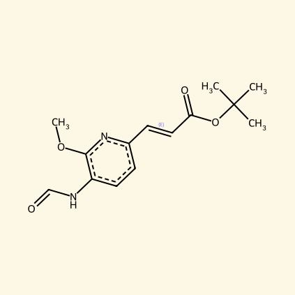 COc1nc(/C=C/C(=O)OC(C)(C)C)ccc1NC=O